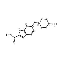 NC(=O)c1cc2ccc(CN3CCC(O)CC3)nc2s1